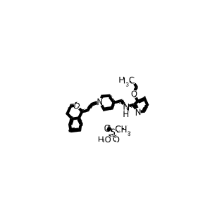 CCOc1cccnc1NCC1CCN(CCC2OCCc3ccccc32)CC1.CS(=O)(=O)O